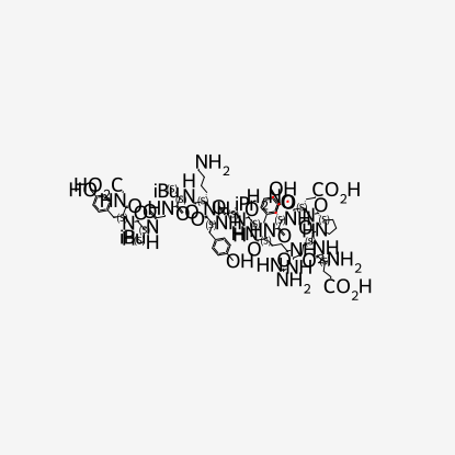 CC[C@H](C)[C@H](NC(=O)CNC(=O)[C@@H](NC(=O)[C@H](CCCCN)NC(=O)[C@H](Cc1ccc(O)cc1)NC(=O)[C@@H](NC(=O)[C@H](Cc1ccc(O)cc1)NC(=O)[C@H](CCC(N)=O)NC(=O)[C@H](CC(N)=O)NC(=O)[C@H](CCC(=O)O)NC(=O)[C@@H]1CCCN1C(=O)[C@H](CCCNC(=N)N)NC(=O)[C@@H](N)CCC(=O)O)C(C)C)[C@@H](C)CC)C(=O)N[C@@H](Cc1ccc(O)cc1)C(=O)NCC(=O)O